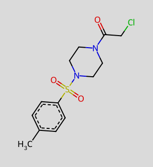 Cc1ccc(S(=O)(=O)N2CCN(C(=O)CCl)CC2)cc1